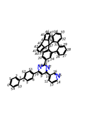 c1ccc(-c2ccc(-c3cc(-c4cccnc4)nc(-c4ccc5c(c4)-c4ccccc4-c4ccccc4C54c5ccccc5-c5ccccc54)n3)cc2)cc1